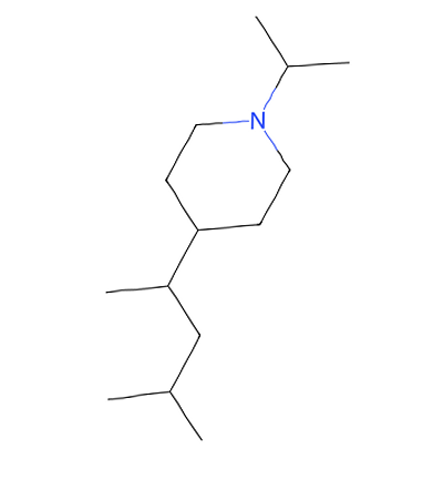 CC(C)CC(C)C1CCN(C(C)C)CC1